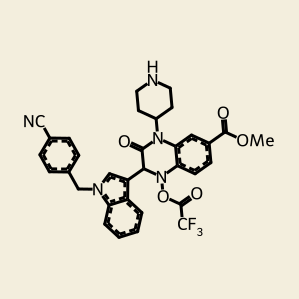 COC(=O)c1ccc2c(c1)N(C1CCNCC1)C(=O)C(c1cn(Cc3ccc(C#N)cc3)c3ccccc13)N2OC(=O)C(F)(F)F